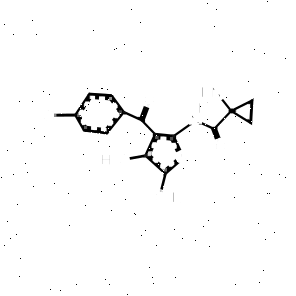 Cc1sc(NC(=O)C2(N)CC2)c(C(=O)c2ccc(Cl)cc2)c1C